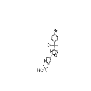 CC(C)(O)Cn1cc(-c2nc([C@@](C)(c3ccc(Br)cc3)C3CC3)no2)cn1